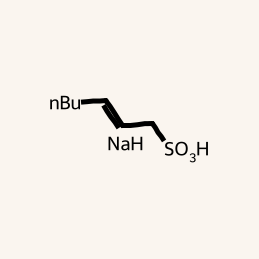 CCCCC=CCS(=O)(=O)O.[NaH]